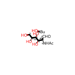 CC(=O)N[C@@H](C=O)[C@@H](O)[C@H](O)[C@H](O)CO.CCC(C)O